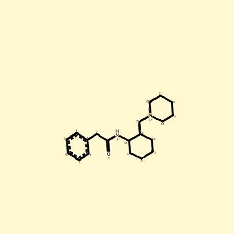 O=C(Cc1ccccc1)NC1CCCCC1CN1CCCCC1